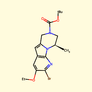 CCOc1cc2cc3n(c2nc1Br)[C@H](C)CN(C(=O)OC(C)(C)C)C3